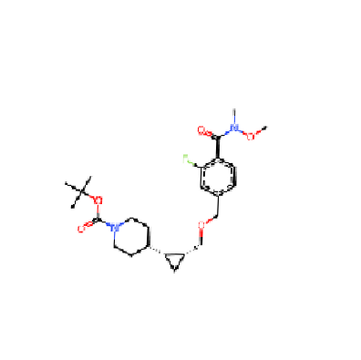 CON(C)C(=O)c1ccc(COC[C@@H]2C[C@@H]2C2CCN(C(=O)OC(C)(C)C)CC2)cc1F